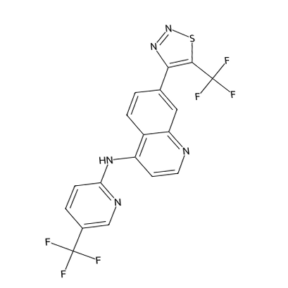 FC(F)(F)c1ccc(Nc2ccnc3cc(-c4nnsc4C(F)(F)F)ccc23)nc1